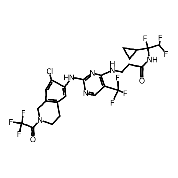 O=C(CCNc1nc(Nc2cc3c(cc2Cl)CN(C(=O)C(F)(F)F)CC3)ncc1C(F)(F)F)NC(F)(C(F)F)C1CC1